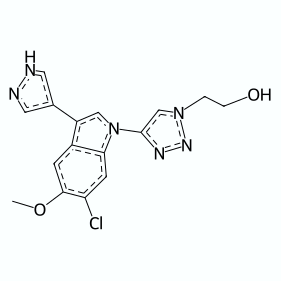 COc1cc2c(-c3cn[nH]c3)cn(-c3cn(CCO)nn3)c2cc1Cl